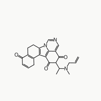 C=CCN(C)C(C)C1C(=O)c2cncn3c4c(c(c23)C1=O)C1=C(CC4)C(=O)C=CC1